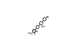 C=CC1CCC(C2CCC(C3CCC(c4ccc(OCC)c(F)c4F)CC3)C(O)O2)CC1